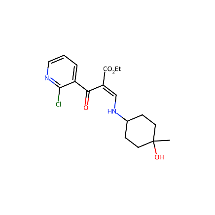 CCOC(=O)C(=CNC1CCC(C)(O)CC1)C(=O)c1cccnc1Cl